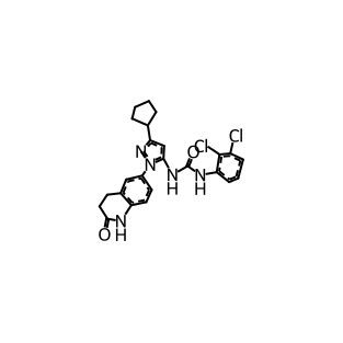 O=C1CCc2cc(-n3nc(C4CCCC4)cc3NC(=O)Nc3cccc(Cl)c3Cl)ccc2N1